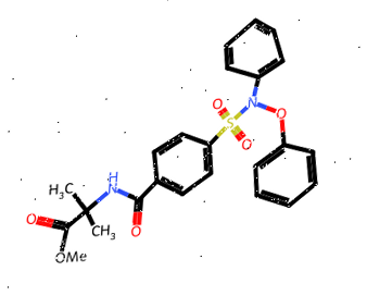 COC(=O)C(C)(C)NC(=O)c1ccc(S(=O)(=O)N(Oc2ccccc2)c2ccccc2)cc1